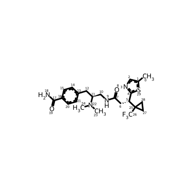 Cc1cnc([C@@H](CC(=O)NC[C@H](Cc2ccc(C(N)=O)cc2)N(C)C)C2(C(F)(F)F)CC2)s1